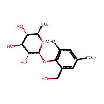 COc1cc(C(=O)O)cc(CO)c1O[C@@H]1O[C@H](C(=O)O)[C@@H](O)[C@H](O)[C@H]1O